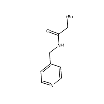 CC(C)(C)CC(=O)NCc1ccncc1